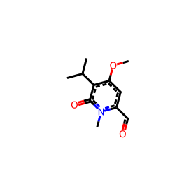 COc1cc(C=O)n(C)c(=O)c1C(C)C